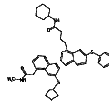 CNC(=O)Cc1cccc2ccc(SC3CCCC3)cc12.O=C(CCCc1cccc2ccc(Sc3ccccc3)cc12)NC1CCCCC1